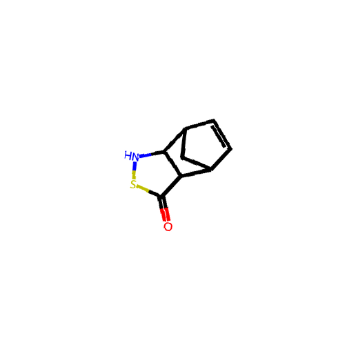 O=C1SNC2C3C=CC(C3)C12